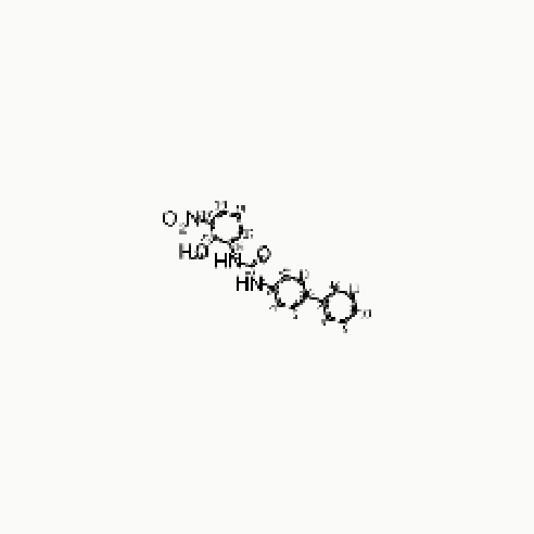 O=C(Nc1ccc(-c2ccccc2)cc1)Nc1cccc([N+](=O)[O-])c1O